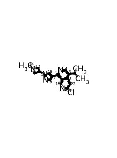 CC(C)c1cnc(-c2cnn(C3CN(C)C3)c2)c2cnc(Cl)cc12